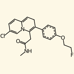 CNC(=O)CC1=C(c2ccc(OCCF)cc2)CC=C2C=CC(Cl)=CN21